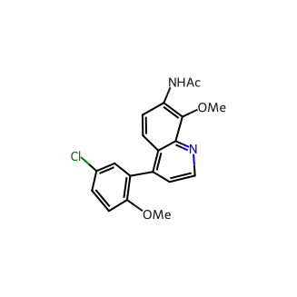 COc1ccc(Cl)cc1-c1ccnc2c(OC)c(NC(C)=O)ccc12